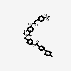 Cc1ccc(-c2ccc(C(=O)Oc3ccc(CN(CC(=O)O)C(=O)c4ccc(NC(=O)Cc5ccc(S(C)(=O)=O)cc5)cc4)cc3)cc2)cc1